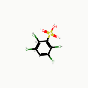 O=S(=O)(O)c1c(Cl)c(Cl)cc(Cl)c1Cl